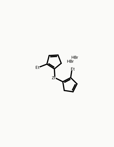 Br.Br.CCC1=[C]([Zr][C]2=C(CC)C=CC2)CC=C1